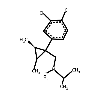 CC(C)N(C)CC1(c2ccc(Cl)c(Cl)c2)C(C)[C@H]1C